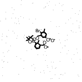 COCOc1cc(C)c(Br)c(COCc2c(B3OC(C)(C)C(C)(C)O3)cccc2C(=O)OC)c1